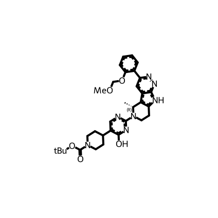 COCOc1ccccc1-c1cc2c3c([nH]c2nn1)CCN(c1ncc(C2CCN(C(=O)OC(C)(C)C)CC2)c(O)n1)[C@@H]3C